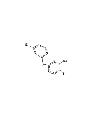 CCc1ccc(Oc2cccc(C#N)c2)nc1C(C)(C)C